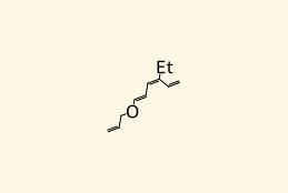 C=CCO/C=C/C=C(\C=C)CC